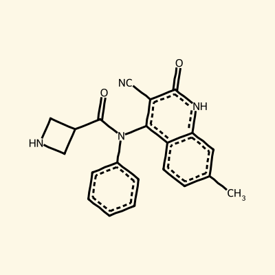 Cc1ccc2c(N(C(=O)C3CNC3)c3ccccc3)c(C#N)c(=O)[nH]c2c1